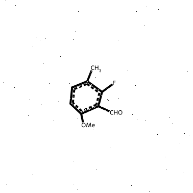 COc1ccc(C)c(F)c1C=O